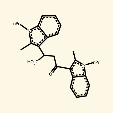 CCCn1c(C)c(C(=O)CC(C(=O)O)c2c(C)n(CCC)c3ccccc23)c2ccccc21